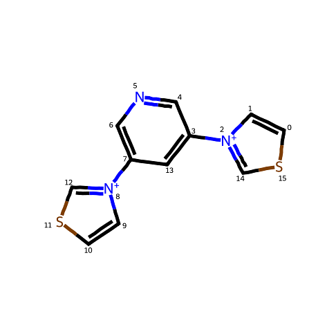 c1c[n+](-c2cncc(-[n+]3ccsc3)c2)cs1